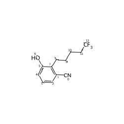 N#Cc1cccc(O)c1CCCCC(F)(F)F